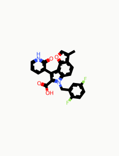 Cc1coc2c1ccc1c2c(-c2ccc[nH]c2=O)c(C(=O)O)n1Cc1cc(F)ccc1F